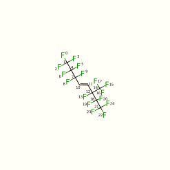 FC(F)(F)C(F)(F)C(F)(F)C=CC(F)(C(F)(F)F)C(F)(F)C(F)(F)F